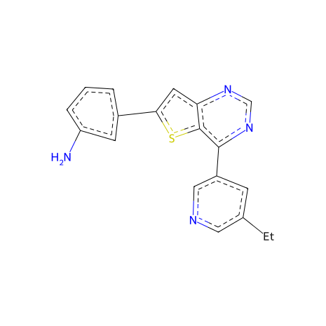 CCc1cncc(-c2ncnc3cc(-c4cccc(N)c4)sc23)c1